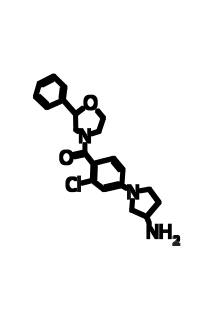 NC1CCN(c2ccc(C(=O)N3CCOC(c4ccccc4)C3)c(Cl)c2)C1